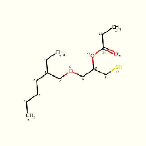 CCCCC(CC)COCC(CS)OC(=O)CC